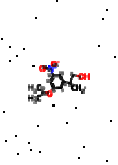 [CH2]C(CO)c1cc(OC(C)C)cc([N+](=O)[O-])c1